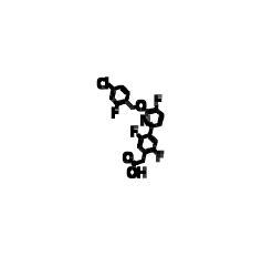 O=C(O)Cc1cc(F)c(-c2ccc(F)c(OCc3ccc(Cl)cc3F)n2)cc1F